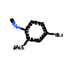 C=Nc1ccc(C(C)(C)C)cc1SC